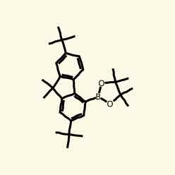 CC(C)(C)c1ccc2c(c1)C(C)(C)c1cc(C(C)(C)C)cc(B3OC(C)(C)C(C)(C)O3)c1-2